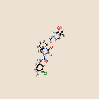 C[C@H]1C(=O)N2[C@@H](CCN3CCC4(CC4)[C@H](O)C3)CCC[C@H]2CN1C(=O)Nc1ccc(Cl)c(Cl)c1